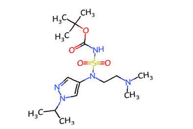 CC(C)n1cc(N(CCN(C)C)S(=O)(=O)NC(=O)OC(C)(C)C)cn1